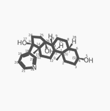 C[C@]12CC[C@H](O)C[C@H]1CC[C@@H]1[C@@H]2CC[C@]2(C)[C@](O)(c3cccnc3)CC[C@]12O